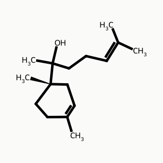 CC(C)=CCCC(C)(O)[C@]1(C)CC=C(C)CC1